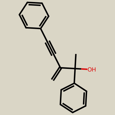 C=C(C#Cc1ccccc1)C(C)(O)c1ccccc1